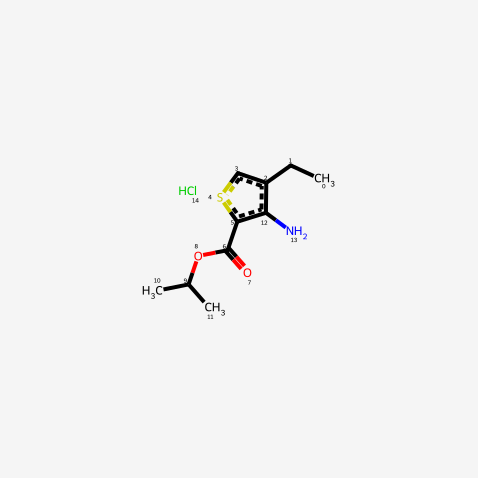 CCc1csc(C(=O)OC(C)C)c1N.Cl